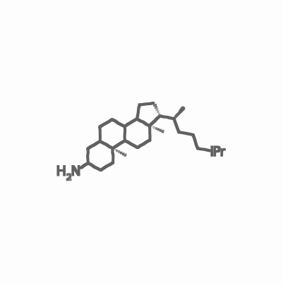 CC(C)CCC[C@H](C)[C@H]1CCC2C3CCC4CC(N)CC[C@]4(C)C3CC[C@@]21C